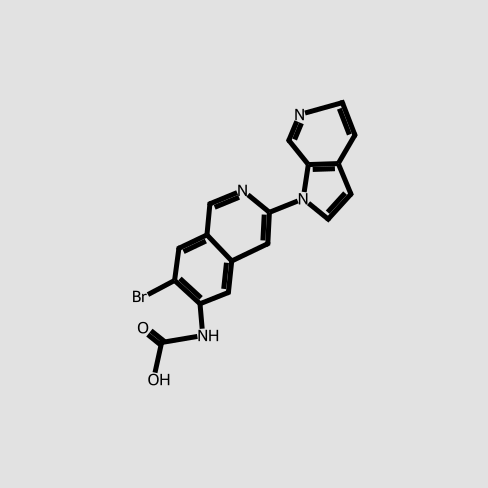 O=C(O)Nc1cc2cc(-n3ccc4ccncc43)ncc2cc1Br